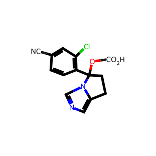 N#Cc1ccc(C2(OC(=O)O)CCc3cncn32)c(Cl)c1